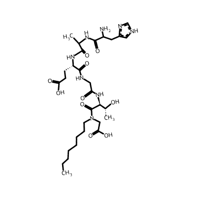 CCCCCCCCN(CC(=O)O)C(=O)[C@@H](NC(=O)CNC(=O)[C@H](CCC(=O)O)NC(=O)C(C)NC(=O)C(N)Cc1c[nH]cn1)[C@@H](C)O